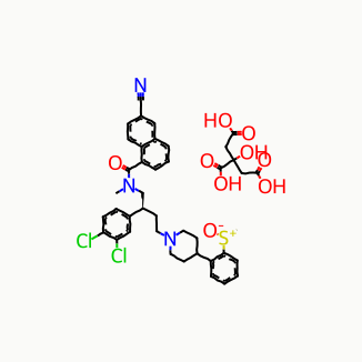 CN(C[C@@H](CCN1CCC(c2ccccc2[S+](C)[O-])CC1)c1ccc(Cl)c(Cl)c1)C(=O)c1cccc2cc(C#N)ccc12.O=C(O)CC(O)(CC(=O)O)C(=O)O